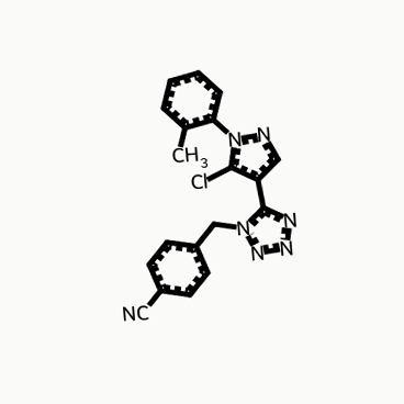 Cc1ccccc1-n1ncc(-c2nnnn2Cc2ccc(C#N)cc2)c1Cl